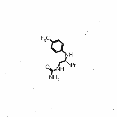 CC(C)[C@H](CNC(N)=O)Nc1ccc(C(F)(F)F)cc1